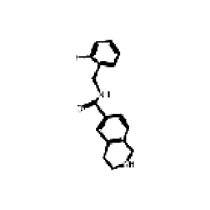 O=C(NCc1ccccc1F)c1ccc2c(c1)CCNC2